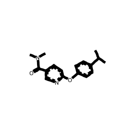 CC(C)c1ccc(Oc2ccc(C(=O)N(C)C)cn2)cc1